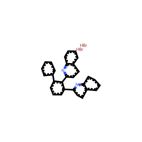 Br.Br.c1ccc(-c2cccc(-c3ccc4ccccc4n3)c2-c2ccc3ccccc3n2)cc1